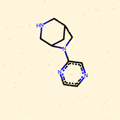 c1cnc(N2CC3CNCC2C3)cn1